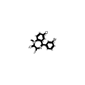 CN1C(=O)C(F)N=C(c2cccc(Br)c2)c2cc(Cl)ccc21